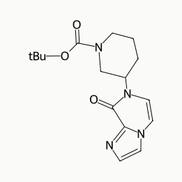 CC(C)(C)OC(=O)N1CCCC(n2ccn3ccnc3c2=O)C1